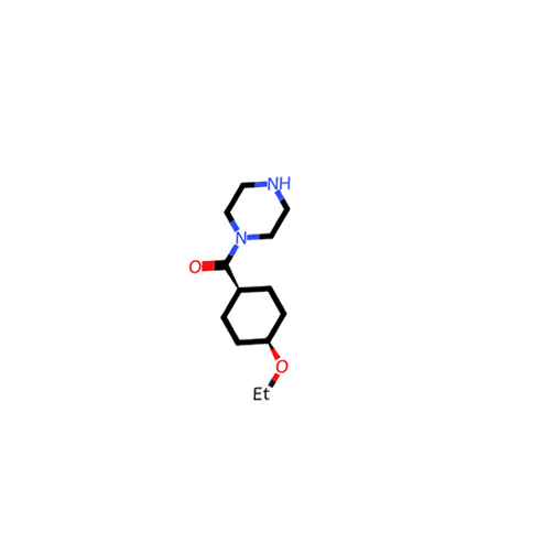 CCO[C@H]1CC[C@@H](C(=O)N2CCNCC2)CC1